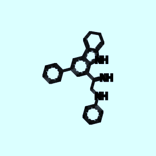 N=C(CNc1ccccc1)c1cc(-c2ccccc2)cc2c3c([nH]c12)=CCCC=3